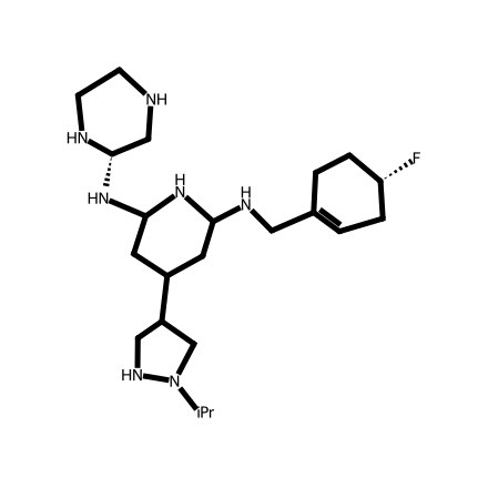 CC(C)N1CC(C2CC(NCC3=CC[C@@H](F)CC3)NC(N[C@H]3CNCCN3)C2)CN1